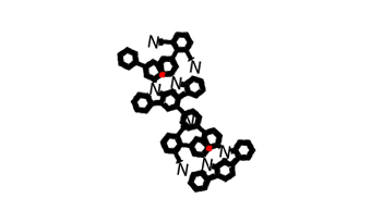 N#Cc1cccc(C#N)c1-c1cccc(-n2c3ccccc3c3ccc4c5ccccc5n(-c5ccc(-c6ccc(-c7cc8c9ccccc9n(-c9cccc(-c%10ccccc%10)c9)c8c8c7c7ccccc7n8-c7cccc(-c8c(C#N)cccc8C#N)c7)cc6)cc5)c4c32)c1